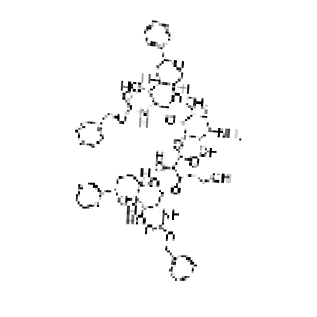 C[C@H]1C[C@@H](N)[C@H](O)[C@@H](O[C@@H]2O[C@H](CO)[C@@H](O[C@H]3O[C@H]4CCC(c5ccccc5)O[C@H]4[C@H](O)[C@H]3NC(=O)OCc3ccccc3)[C@H]2O)[C@@H]1O[C@H]1O[C@@H]2COC(c3ccccc3)C[C@H]2[C@H](O)[C@H]1NC(=O)OCc1ccccc1